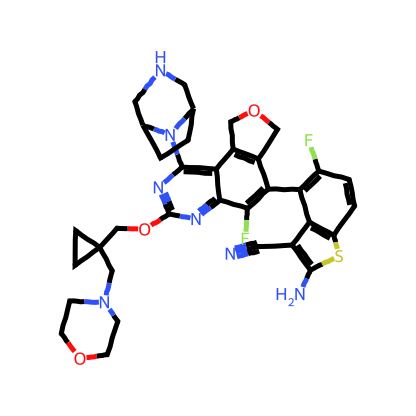 N#Cc1c(N)sc2ccc(F)c(-c3c4c(c5c(N6C7CCC6CNC7)nc(OCC6(CN7CCOCC7)CC6)nc5c3F)COC4)c12